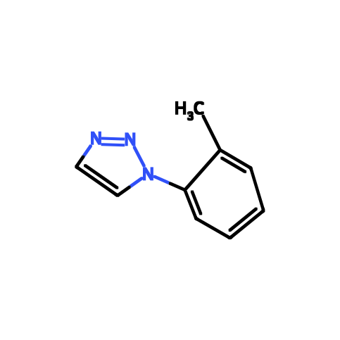 Cc1ccccc1-n1ccnn1